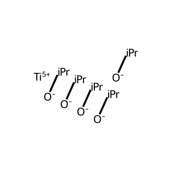 CC(C)[O-].CC(C)[O-].CC(C)[O-].CC(C)[O-].CC(C)[O-].[Ti+5]